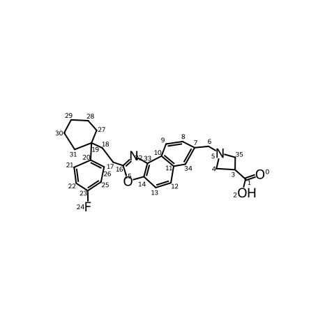 O=C(O)C1CN(Cc2ccc3c(ccc4oc(CCC5(c6ccc(F)cc6)CCCCC5)nc43)c2)C1